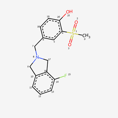 CS(=O)(=O)c1cc(CN2Cc3cccc(F)c3C2)ccc1O